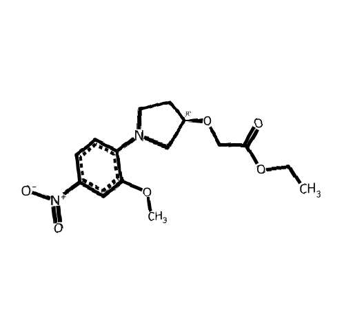 CCOC(=O)CO[C@@H]1CCN(c2ccc([N+](=O)[O-])cc2OC)C1